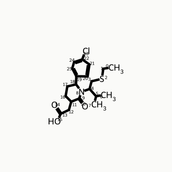 CCSCC(C(C)C)N1C(=O)C(CC(=O)O)CCC1c1ccc(Cl)cc1